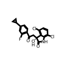 O=C(C[C@]1(O)C(=O)Nc2c(Cl)ccc(Cl)c21)c1ccc(C2CC2)cc1F